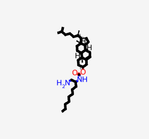 CCCCCCCCC(CN)NC(=O)O[C@H]1CC[C@@]2(C)C(=CC[C@H]3[C@@H]4CC[C@H]([C@H](C)CCCC(C)C)[C@@]4(C)CC[C@@H]32)C1